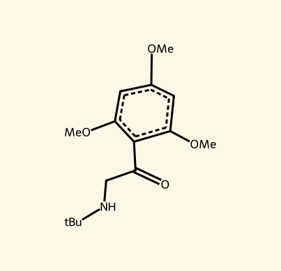 COc1cc(OC)c(C(=O)CNC(C)(C)C)c(OC)c1